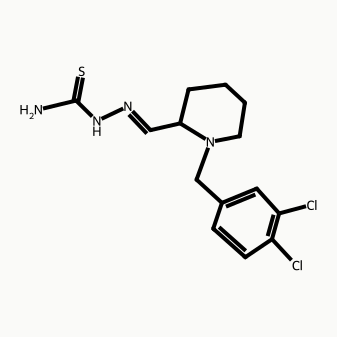 NC(=S)NN=CC1CCCCN1Cc1ccc(Cl)c(Cl)c1